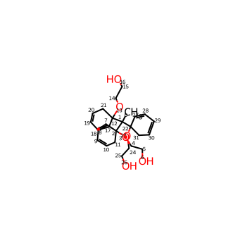 CC(C1(OCCO)C=CC=CC1)(C1(OCCO)C=CC=CC1)C1(OCCO)C=CC=CC1